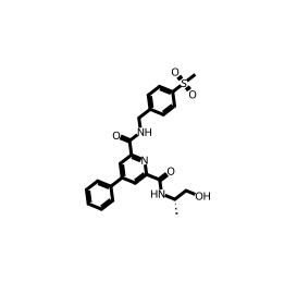 C[C@@H](CO)NC(=O)c1cc(-c2ccccc2)cc(C(=O)NCc2ccc(S(C)(=O)=O)cc2)n1